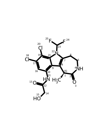 C[C@@H]1C(=O)NCCc2c1c1c(NC(=O)CO)cc(Cl)c(Cl)c1n2C(F)F